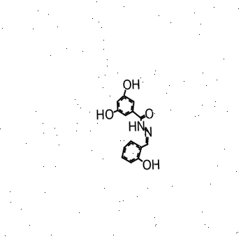 O=C(N/N=C\c1ccccc1O)c1cc(O)cc(O)c1